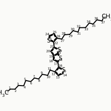 CCCCCCCCCCCCc1ccsc1-c1cc2cc(-c3sccc3CCCCCCCCCCCC)sc2s1